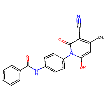 Cc1cc(O)n(-c2ccc(NC(=O)c3ccccc3)cc2)c(=O)c1C#N